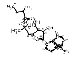 CCC(C)[PH](=O)OC(C)(C)CC1O[C@@H](n2ccc3c(N)ncnc32)[C@H](O)C1O